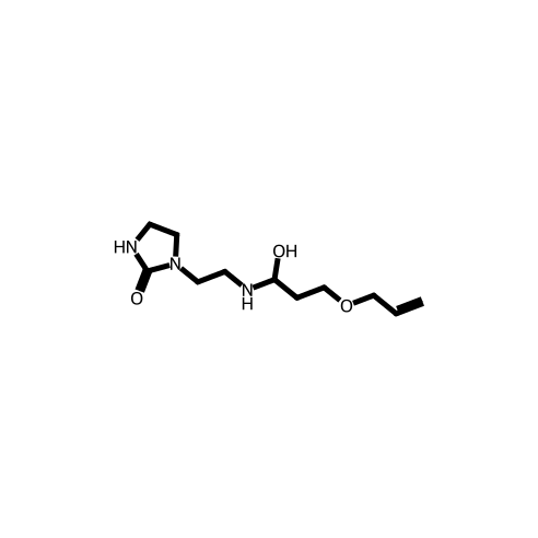 C=CCOCCC(O)NCCN1CCNC1=O